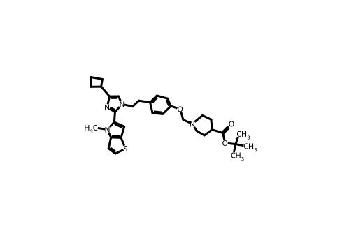 Cn1c(-c2nc(C3CCC3)cn2CCc2ccc(OCN3CCC(C(=O)OC(C)(C)C)CC3)cc2)cc2sccc21